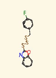 Fc1ccc(CSSSc2nc3ccccc3o2)cc1